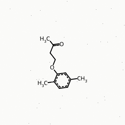 CC(=O)CCOc1cc(C)ccc1C